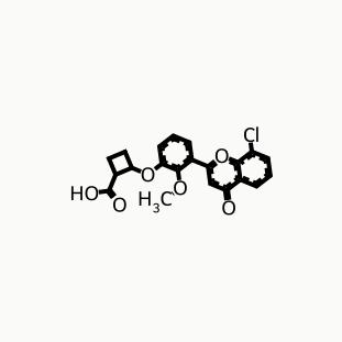 COc1c(OC2CCC2C(=O)O)cccc1-c1cc(=O)c2cccc(Cl)c2o1